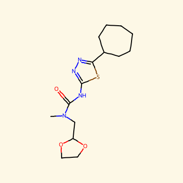 CN(CC1OCCO1)C(=O)Nc1nnc(C2CCCCCC2)s1